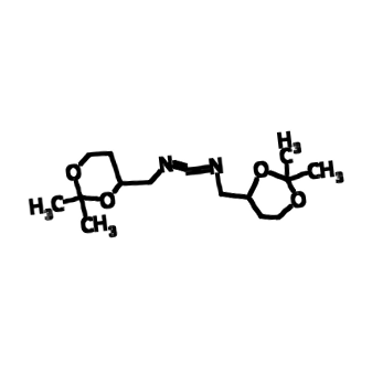 CC1(C)OCCC(CN=C=NCC2CCOC(C)(C)O2)O1